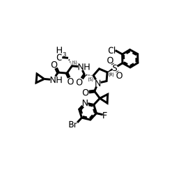 CC[C@H](NC(=O)[C@@H]1C[C@@H](S(=O)(=O)c2ccccc2Cl)CN1C(=O)C1(c2ncc(Br)cc2F)CC1)C(=O)C(=O)NC1CC1